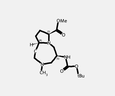 COC(=O)[C@@H]1CC[C@@H]2CCN(C)C[C@H](NC(=O)OC(C)(C)C)CN21